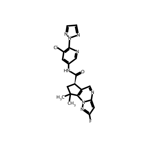 CC1(C)C[C@@H](C(=O)Nc2cnc(-n3nccn3)c(Cl)c2)c2cnc3cc(F)nn3c21